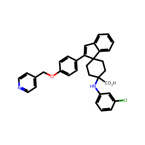 O=C(O)C1(Nc2cccc(Cl)c2)CCC2(CC1)C(c1ccc(OCc3ccncc3)cc1)=Cc1ccccc12